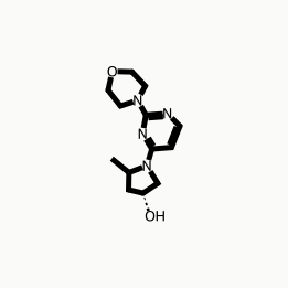 CC1C[C@@H](O)CN1c1ccnc(N2CCOCC2)n1